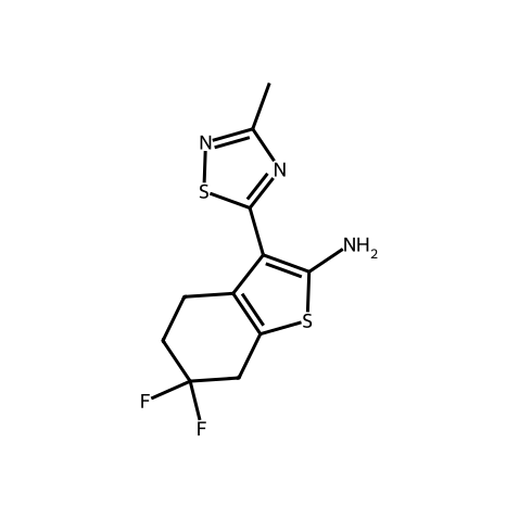 Cc1nsc(-c2c(N)sc3c2CCC(F)(F)C3)n1